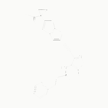 O=C(Nc1c(C#Cc2cc3cc(C4(C(=O)O)CC4)sc3s2)nsc1Cl)OCc1ccccc1